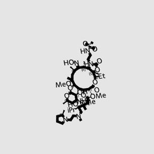 CC[C@H]1OC(=O)[C@H](C)[C@@H](O[C@@H](C[C@@](C)(OC)[C@@](O)(CN(C)CCN2CCC[C@H]2C)C(C)C)OC)[C@H](C)[C@@H](O[C@@H]2O[C@H](C)C[C@H](N)[C@H]2O)[C@@](C)(OC)C[C@@H](C)C(=NO)[C@H](C)[C@H]2N(CCNS(C)(=O)=O)C(=O)O[C@]12C